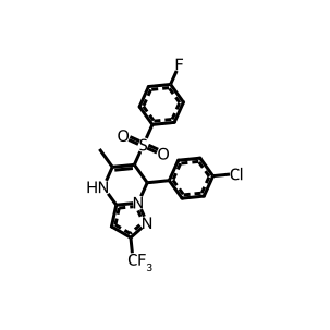 CC1=C(S(=O)(=O)c2ccc(F)cc2)C(c2ccc(Cl)cc2)n2nc(C(F)(F)F)cc2N1